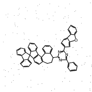 c1ccc(-c2nc(-c3ccc4c(c3)oc3ccccc34)nc(C3CCc4ccc5c(c4-c4ccccc43)-c3ccccc3C53c4ccccc4-c4ccccc43)n2)cc1